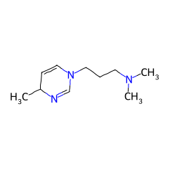 CC1C=CN(CCCN(C)C)C=N1